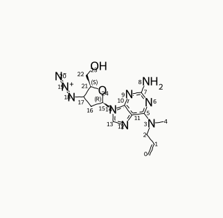 C=CCN(C)c1nc(N)nc2c1ncn2[C@H]1CC(N=[N+]=[N-])[C@@H](CO)O1